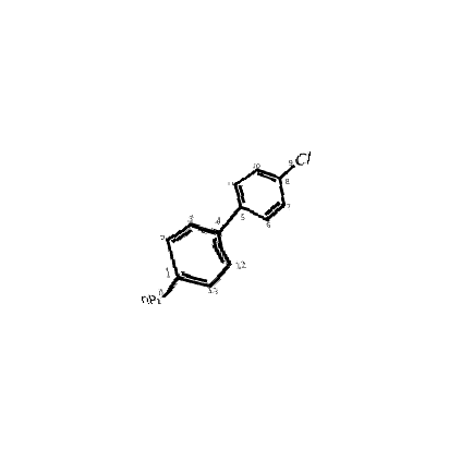 CCCc1[c]cc(-c2ccc(Cl)cc2)cc1